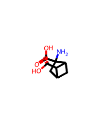 NC1(C(=O)O)CC2CC1C2C(=O)O